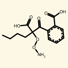 CCCCC(OON)(C(=O)O)C(=O)c1ccccc1C(=O)O